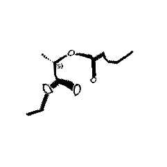 CCCC(=O)O[C@@H](C)C(=O)OCC